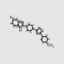 Cc1ccc(-c2nc(-c3ccc(-c4nc5cc(F)ccc5[nH]4)cc3)no2)cc1